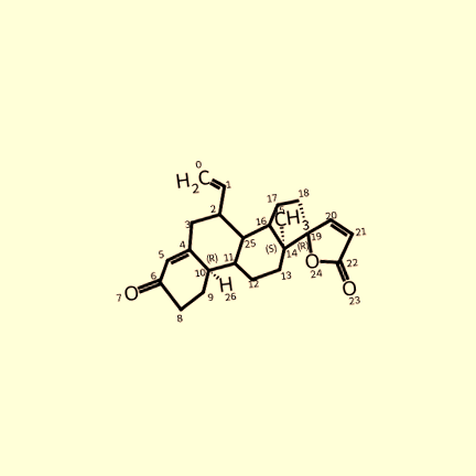 C=CC1CC2=CC(=O)CC[C@@H]2C2CC[C@@]3(C)C(CC[C@@]34C=CC(=O)O4)C12